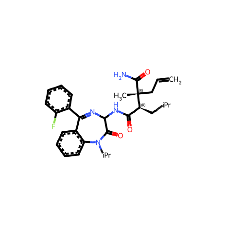 C=CC[C@@](C)(C(N)=O)[C@@H](CC(C)C)C(=O)NC1N=C(c2ccccc2F)c2ccccc2N(C(C)C)C1=O